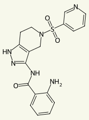 Nc1ccccc1C(=O)Nc1n[nH]c2c1CN(S(=O)(=O)c1cccnc1)CC2